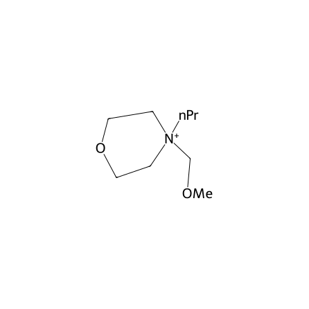 CCC[N+]1(COC)CCOCC1